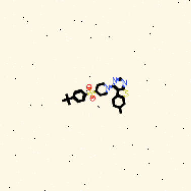 CC1CCc2c(sc3ncnc(N4CCC(S(=O)(=O)c5ccc(C(C)(C)C)cc5)CC4)c23)C1